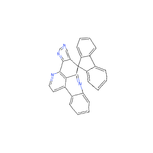 c1ccc2c(c1)-c1ccccc1C21c2cncnc2-c2nccc3c2c1nc1ccccc13